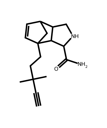 C#CC(C)(C)CCC12C=CC(C1)C1CNC(C(N)=O)C12